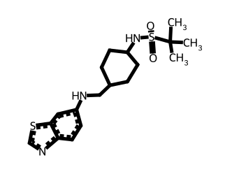 CC(C)(C)S(=O)(=O)NC1CCC(CNc2ccc3ncsc3c2)CC1